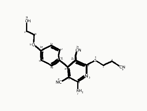 N#CCCSc1nc(N)c(C#N)c(-c2ccc(OCCO)cc2)c1C#N